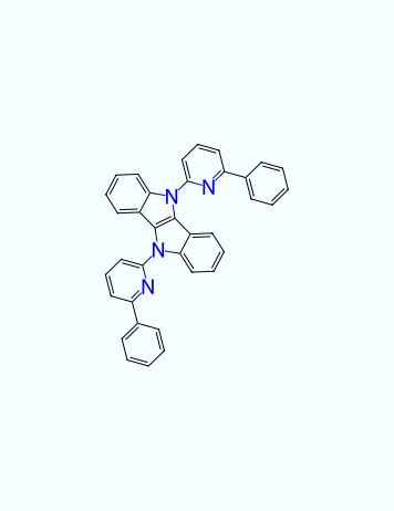 c1ccc(-c2cccc(-n3c4ccccc4c4c3c3ccccc3n4-c3cccc(-c4ccccc4)n3)n2)cc1